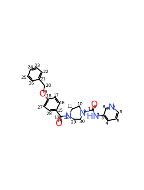 O=C(Nc1cccnc1)N1CCN(C(=O)c2ccc(OCc3ccccc3)cc2)CC1